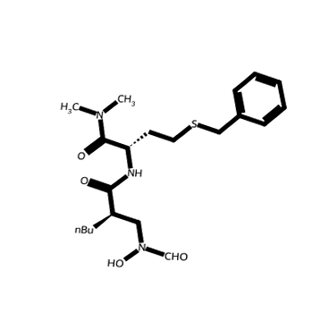 CCCC[C@H](CN(O)C=O)C(=O)N[C@@H](CCSCc1ccccc1)C(=O)N(C)C